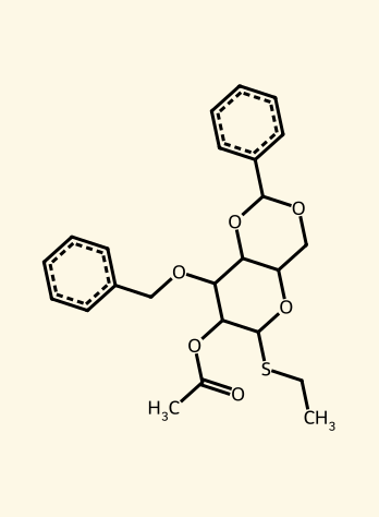 CCSC1OC2COC(c3ccccc3)OC2C(OCc2ccccc2)C1OC(C)=O